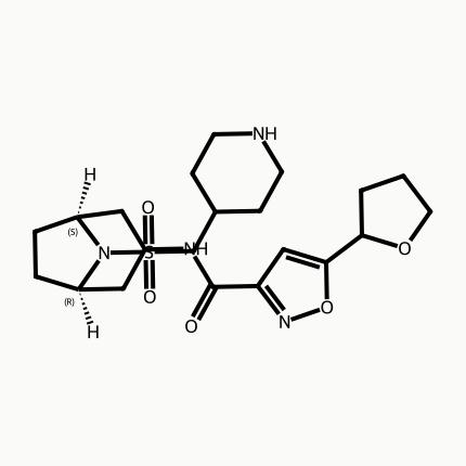 O=C(NC1C[C@H]2CC[C@@H](C1)N2S(=O)(=O)CC1CCNCC1)c1cc(C2CCCO2)on1